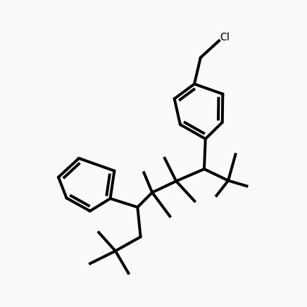 CC(C)(C)CC(c1ccccc1)C(C)(C)C(C)(C)C(c1ccc(CCl)cc1)C(C)(C)C